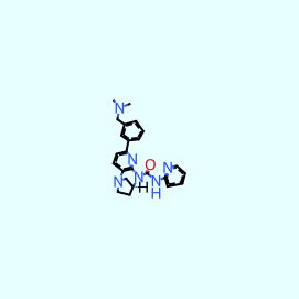 CN(C)Cc1cccc(-c2ccc3c(n2)N(C(=O)Nc2ccccn2)[C@H]2CCN3C2)c1